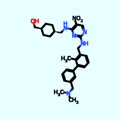 Cc1c(CNc2ncc([N+](=O)[O-])c(NC[C@H]3CC[C@H](CO)CC3)n2)cccc1-c1cccc(CN(C)C)c1